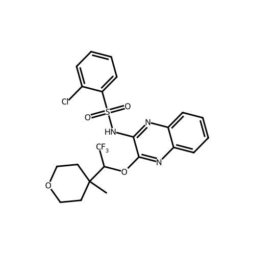 CC1(C(Oc2nc3ccccc3nc2NS(=O)(=O)c2ccccc2Cl)C(F)(F)F)CCOCC1